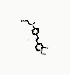 CCCC[n+]1ccc(/C=C/c2ccc(N(C)CCS)cc2)cc1Br.[I-]